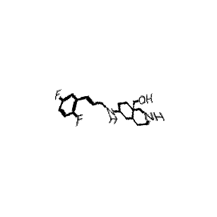 OC[C@]12CCC(NCC=Cc3cc(F)ccc3F)CC1CCNC2